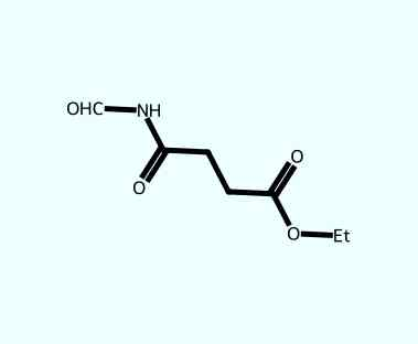 CCOC(=O)CCC(=O)NC=O